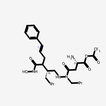 CC(C)C[C@@H](CNN(CC(C)C)C(=O)C[C@H](N)C(=O)OC(=O)C(F)(F)F)C(C/C=C/c1ccccc1)C(=O)NO